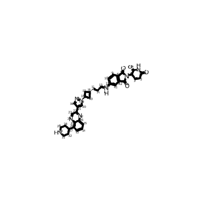 O=C1CCC(N2C(=O)c3ccc(NCCC[C@H]4C[C@H](n5cc(-c6cnc7c(C8CCNCC8)cccc7n6)cn5)C4)cc3C2=O)C(=O)N1